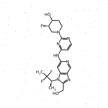 C[C@H](n1c(CO)nc2cnc(Nc3ccnc(N4CCC(O)[C@H](F)C4)n3)cc21)C(C)(F)F